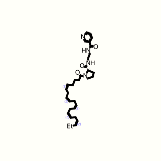 CC/C=C\C/C=C\C/C=C\C/C=C\C/C=C\CCCC(=O)N1CCC[C@H]1C(=O)NCCNC(=O)c1cccnc1